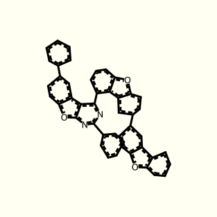 c1ccc(-c2ccc3oc4nc(-c5ccccc5)nc(-c5cccc6oc7ccc(-c8ccc9oc%10ccccc%10c9c8)cc7c56)c4c3c2)cc1